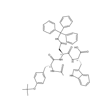 CC(=O)N[C@H](Cc1ccc(OC(C)(C)C)cc1)C(=O)N[C@@H](CC(=O)NC(c1ccccc1)(c1ccccc1)c1ccccc1)C(=O)N[C@@H](Cc1c[nH]c2ccccc12)C(=O)O